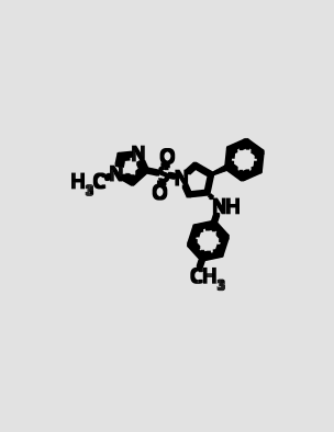 Cc1ccc(N[C@@H]2CN(S(=O)(=O)c3cn(C)cn3)C[C@H]2c2ccccc2)cc1